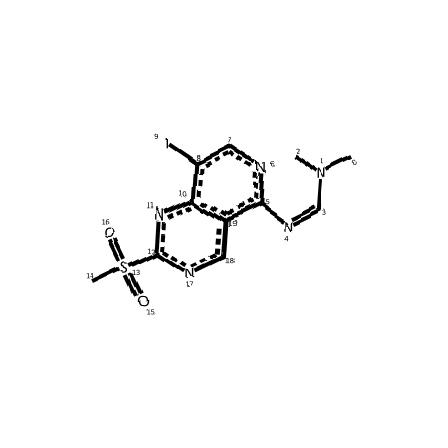 CN(C)/C=N\c1ncc(I)c2nc(S(C)(=O)=O)ncc12